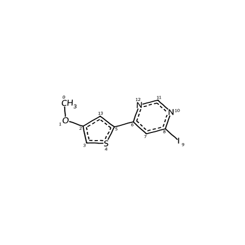 COc1csc(-c2cc(I)ncn2)c1